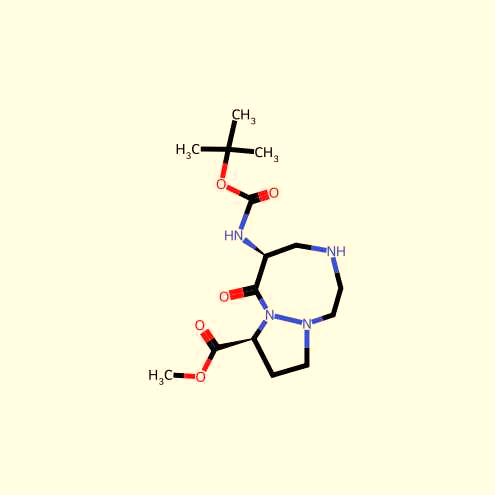 COC(=O)[C@@H]1CCN2CCNC[C@H](NC(=O)OC(C)(C)C)C(=O)N12